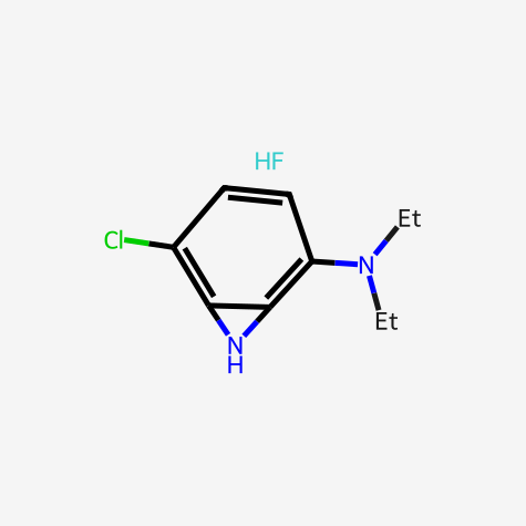 CCN(CC)c1ccc(Cl)c2c1N2.F